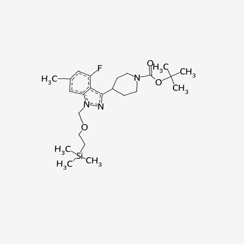 Cc1cc(F)c2c(C3CCN(C(=O)OC(C)(C)C)CC3)nn(COCC[Si](C)(C)C)c2c1